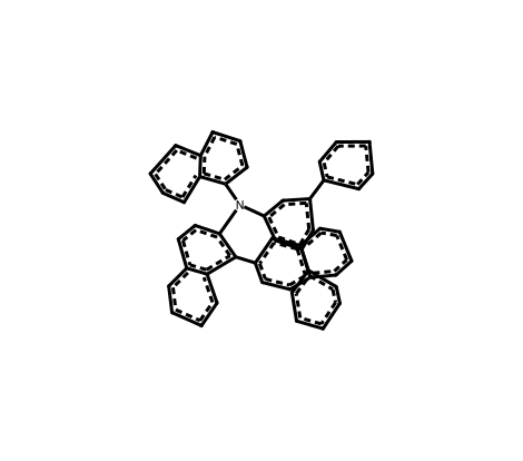 c1ccc(-c2cc(-c3ccccc3)cc(N(c3ccc4ccccc4c3-c3ccc4ccccc4c3)c3cccc4ccccc34)c2)cc1